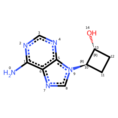 Nc1ncnc2c1ncn2[C@@H]1CC[C@H]1O